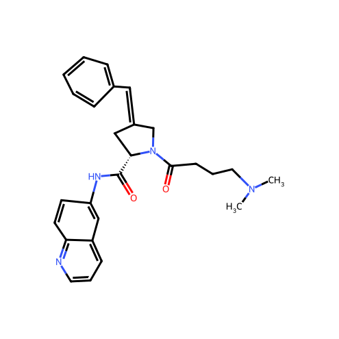 CN(C)CCCC(=O)N1C/C(=C/c2ccccc2)C[C@H]1C(=O)Nc1ccc2ncccc2c1